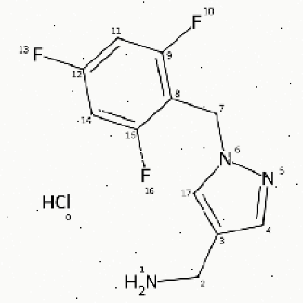 Cl.NCc1cnn(Cc2c(F)cc(F)cc2F)c1